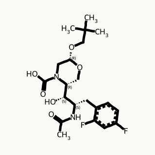 CC(=O)N[C@@H](Cc1ccc(F)cc1F)[C@H](O)[C@H]1CO[C@@H](OCC(C)(C)C)CN1C(=O)O